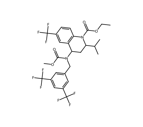 CCOC(=O)N1c2ccc(C(F)(F)F)cc2C(N(Cc2cc(C(F)(F)F)cc(C(F)(F)F)c2)C(=O)OC)CC1C(C)C